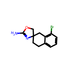 NC1=NC2(CCc3cccc(Br)c3C2)CO1